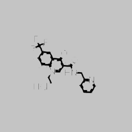 CCn1cc(C(=O)NCc2ccccn2)c(=O)c2cc(C(F)(F)F)ccc21.Cl